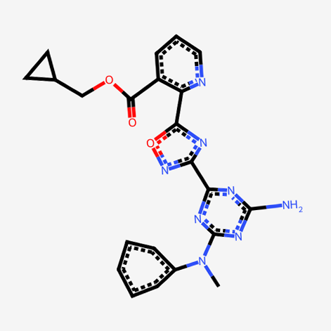 CN(c1ccccc1)c1nc(N)nc(-c2noc(-c3ncccc3C(=O)OCC3CC3)n2)n1